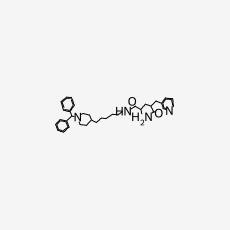 CC(CC(Cc1cccnc1)C(N)=O)C(=O)NCCCCCCC1CCN(C(c2ccccc2)c2ccccc2)CC1